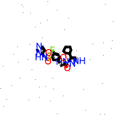 CC(=O)Nc1n[nH]cc1C1CCCCC1Oc1cc(F)c(S(=O)(=O)Nc2ccncn2)cc1C